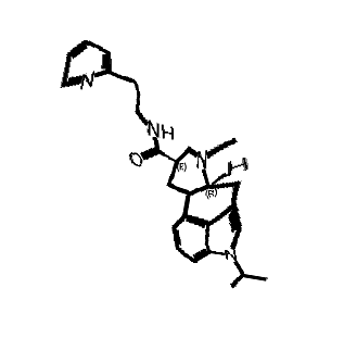 CC(C)n1cc2c3c(cccc31)C1C[C@@H](C(=O)NCCc3ccccn3)CN(C)[C@@H]1C2